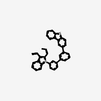 C=Cc1c(/C=C\C)n(-c2cccc(-c3cccc(-c4ccc5sc6ccccc6c5c4)c3)c2)c2ccccc12